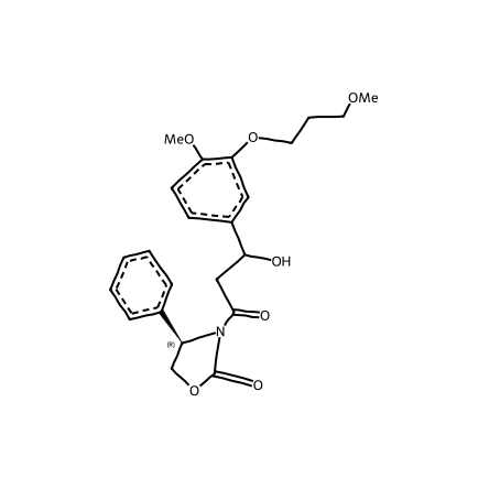 COCCCOc1cc(C(O)CC(=O)N2C(=O)OC[C@H]2c2ccccc2)ccc1OC